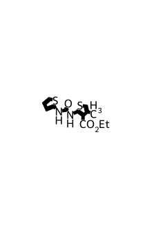 CCOC(=O)c1c(C)csc1NC(=O)Nc1cccs1